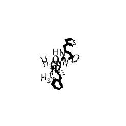 CN(C[C@@H](Cc1ccccc1)N(C)C)c1nc(=O)cc(Cc2ccsc2)[nH]1